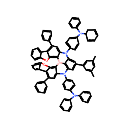 Cc1cc(C)cc(-c2cc3c4c(c2)N(c2ccc(N(c5ccccc5)C5C=CC=CC5)cc2)c2cc(-c5ccccc5)c5c(oc6ccccc65)c2B4c2c(cc(-c4ccccc4)c4c2oc2ccccc24)N3c2ccc(N(c3ccccc3)c3ccccc3)cc2)c1